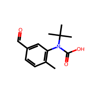 Cc1ccc(C=O)cc1N(C(=O)O)C(C)(C)C